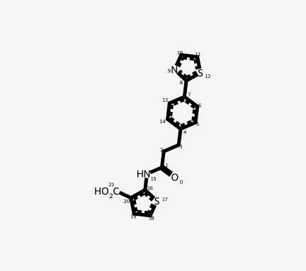 O=C(CCc1ccc(-c2nccs2)cc1)Nc1sccc1C(=O)O